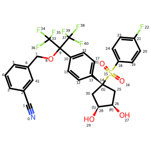 N#Cc1cccc(COC(c2ccc([C@@]3(S(=O)(=O)c4ccc(F)cc4)C[C@@H](O)[C@@H](O)C3)cc2)(C(F)(F)F)C(F)(F)F)c1